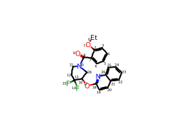 CCOc1ccccc1C(=O)N1CCC(F)(F)C(Oc2ccc3ccccc3n2)C1